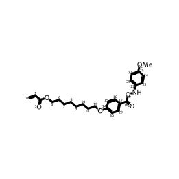 C=CC(=O)OCCCCCCCCOc1ccc(C(=O)ONc2ccc(OC)cc2)cc1